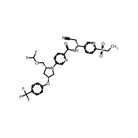 CCS(=O)(=O)c1ccc([C@H](CC#N)NC(=O)c2ccc(N3C[C@@H](Oc4ccc(C(F)(F)F)cc4)C[C@H]3COC(F)F)cn2)cn1